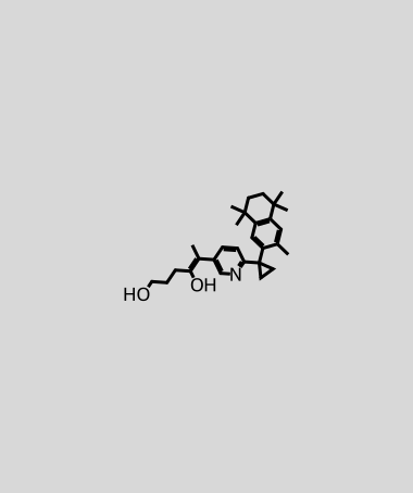 C/C(=C(/O)CCCO)c1ccc(C2(c3cc4c(cc3C)C(C)(C)CCC4(C)C)CC2)nc1